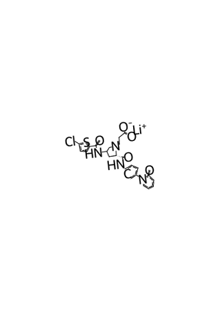 O=C([O-])CCN1CC(NC(=O)c2ccc(Cl)s2)C[C@H]1C(=O)Nc1ccc(-n2ccccc2=O)cc1.[Li+]